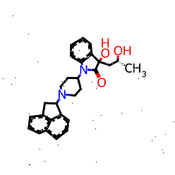 C[C@@H](O)CC1(O)C(=O)N(C2CCN(C3Cc4cccc5cccc3c45)CC2)c2ccccc21